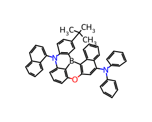 CC(C)(C)c1ccc2c(c1)B1c3c(cccc3N2c2cccc3ccccc23)Oc2cc(N(c3ccccc3)c3ccccc3)c3ccccc3c21